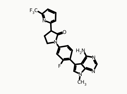 Cn1cc(-c2ccc(N3CCC(c4cccc(C(F)(F)F)n4)C3=O)cc2F)c2c(N)ncnc21